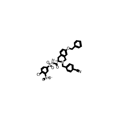 N#Cc1ccc(CN2Cc3cc(OCc4ccccc4)ccc3C[C@H]2C(=O)NS(=O)(=O)c2ccc(Cl)c([N+](=O)[O-])c2)cc1